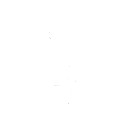 O=C(NC1CCC(c2nnco2)CC1)[C@@H]1NC2(CC(CF)(CF)C2)[C@@]2(C(=O)Nc3cc(Cl)ccc32)[C@H]1c1cccc(Cl)c1F